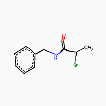 CC(Br)C(=O)NCc1ccccc1